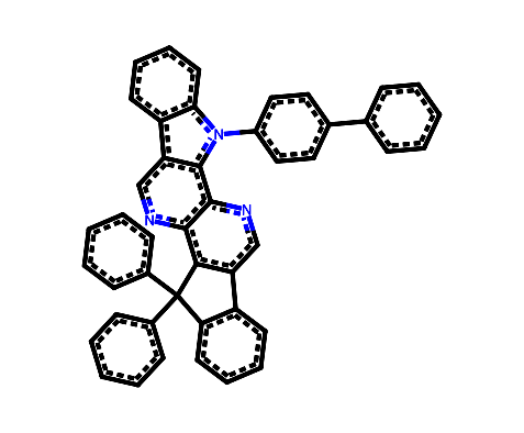 c1ccc(-c2ccc(-n3c4ccccc4c4cnc5c6c(cnc5c43)-c3ccccc3C6(c3ccccc3)c3ccccc3)cc2)cc1